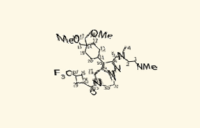 CNCCN(C)Cc1nn2c(c1C1CCC(COC)(COC)CC1)CN(C(=O)C1CC(C(F)(F)F)C1)CC2